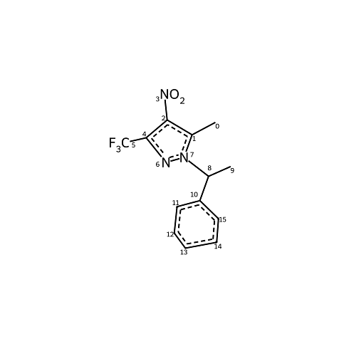 Cc1c([N+](=O)[O-])c(C(F)(F)F)nn1C(C)c1ccccc1